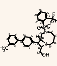 Cc1cccc(-c2ccc(C3C(CO)N4CCCCN(S(=O)(=O)c5ccccc5C(F)(F)F)C[C@@H]34)cc2)c1